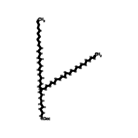 C=CCCCCCCCCCCCCCCCCCCCCCCC(=CCCCCCCCCCCCCCCCCCC)CCCCCCCCCCCCCCCCCCCCC=C